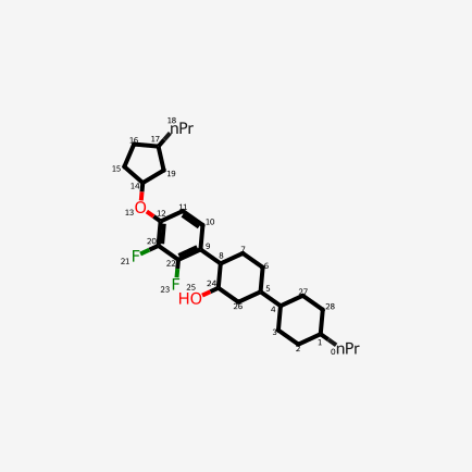 CCCC1CCC(C2CCC(c3ccc(OC4CCC(CCC)C4)c(F)c3F)C(O)C2)CC1